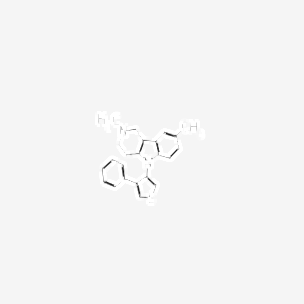 Cc1ccc2c(c1)c1c(n2-c2cscc2-c2ccccc2)CCN(C)C1